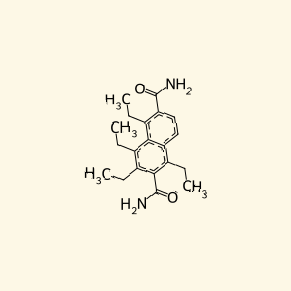 CCc1c(C(N)=O)c(CC)c2ccc(C(N)=O)c(CC)c2c1CC